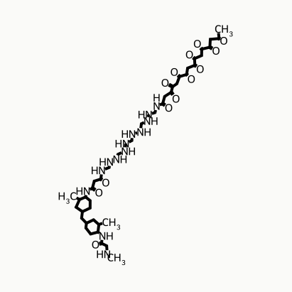 CNCC(=O)NC1CCC(CC2CCC(NC(=O)CC(=O)NCNNCNNCNNCNNCNC(=O)CC(=O)C(=O)CC(=O)C(=O)CC(=O)C(=O)CC(=O)C(=O)CC(C)=O)C(C)C2)CC1C